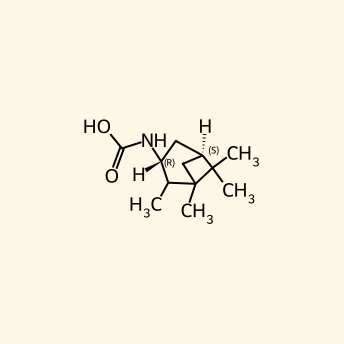 CC1[C@H](NC(=O)O)C[C@@H]2CC1(C)C2(C)C